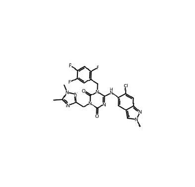 Cc1nc(Cn2c(=O)nc(Nc3cc4cn(C)nc4cc3Cl)n(Cc3cc(F)c(F)cc3F)c2=O)nn1C